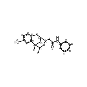 CC1CN(CC(=O)Nc2ccccc2)C2Cc3ccc(O)cc3C1(C)C2